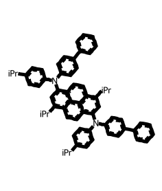 CC(C)c1ccc(N(c2ccc(-c3ccccc3)cc2)c2cc(C(C)C)c3ccc4c(N(c5ccc(-c6ccccc6)cc5)c5ccc(C(C)C)cc5)cc(C(C)C)c5ccc2c3c54)cc1